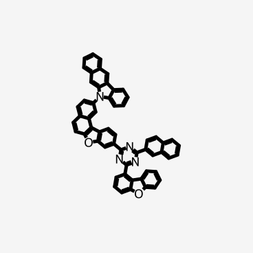 c1ccc2cc(-c3nc(-c4ccc5c(c4)oc4ccc6ccc(-n7c8ccccc8c8cc9ccccc9cc87)cc6c45)nc(-c4cccc5oc6ccccc6c45)n3)ccc2c1